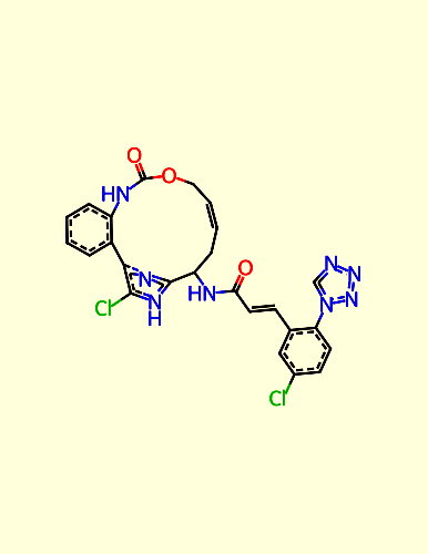 O=C(C=Cc1cc(Cl)ccc1-n1cnnn1)NC1CC=CCOC(=O)Nc2ccccc2-c2nc1[nH]c2Cl